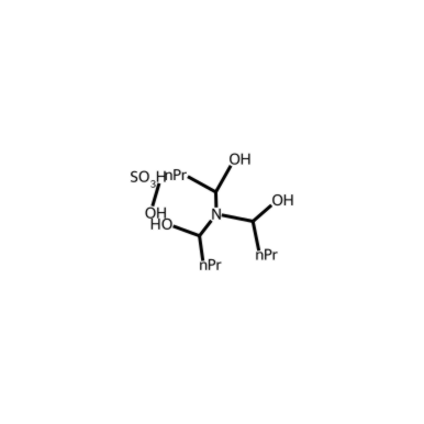 CCCC(O)N(C(O)CCC)C(O)CCC.O=S(=O)(O)O